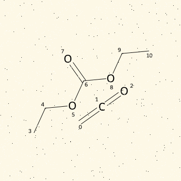 C=C=O.CCOC(=O)OCC